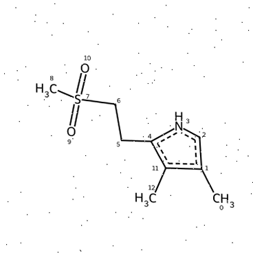 Cc1c[nH]c(CCS(C)(=O)=O)c1C